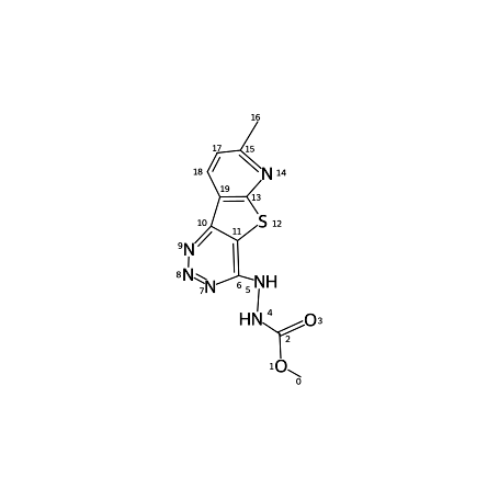 COC(=O)NNc1nnnc2c1sc1nc(C)ccc12